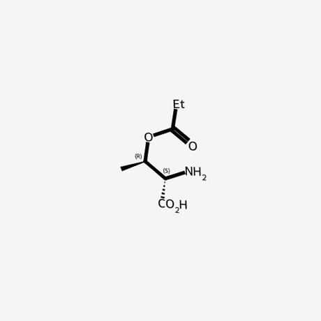 CCC(=O)O[C@H](C)[C@H](N)C(=O)O